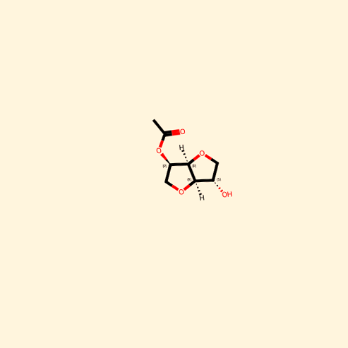 CC(=O)O[C@@H]1CO[C@H]2[C@@H]1OC[C@@H]2O